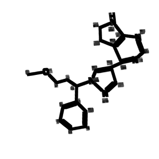 COCCC(c1ccccc1)n1cc(-c2ncnc3c2CCN3)cn1